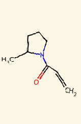 C=CC(=O)N1C[CH]CC1C